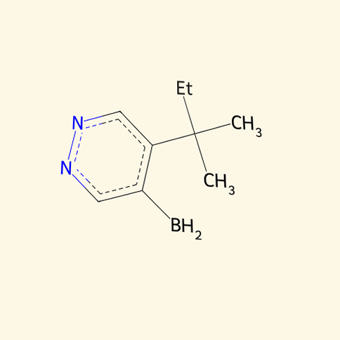 Bc1cnncc1C(C)(C)CC